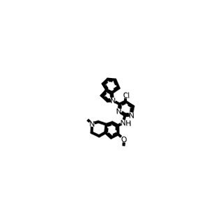 COc1cc2c(cc1Nc1ncc(Cl)c(-n3ccc4ccccc43)n1)CN(C)CC2